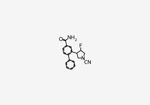 N#CN1CC(F)C(c2cc(C(N)=O)ccc2-c2ccccc2)C1